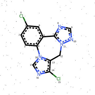 Clc1ccc2c(c1)-c1ncnn1Cc1c(Cl)ncn1-2